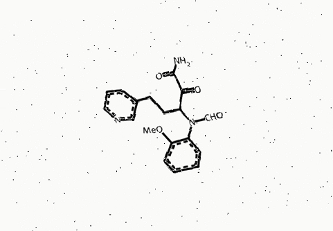 COc1ccccc1N(C=O)C(CCc1cccnc1)C(=O)C(N)=O